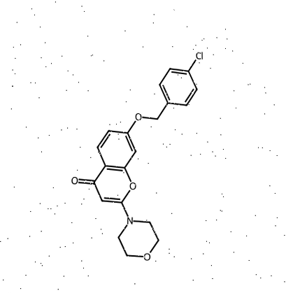 O=c1cc(N2CCOCC2)oc2cc(OCc3ccc(Cl)cc3)ccc12